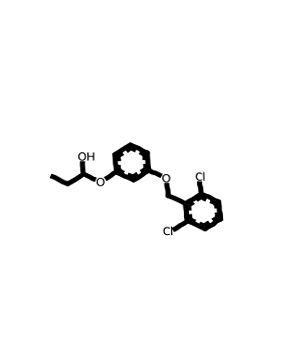 CCC(O)Oc1cccc(OCc2c(Cl)cccc2Cl)c1